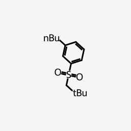 [CH2]CCCc1cccc(S(=O)(=O)CC(C)(C)C)c1